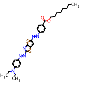 CCCCCCCCOC(=O)c1ccc(/N=N/c2cc3sc(/N=N/c4ccc(N(CC)CC)cc4)nc3s2)cc1